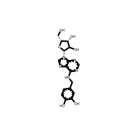 OC[C@H]1O[C@@H](n2cnc3c(NCc4ccc(O)c(O)c4)ncnc32)C(O)[C@H]1O